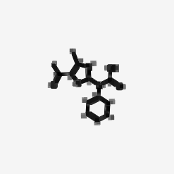 CC(=O)c1sc(N(C(=O)O)c2ccccc2)nc1C